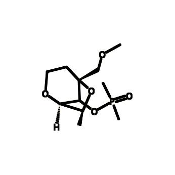 COC[C@]12CCO[C@@H](C1OP(C)(C)=O)[C@H](C)O2